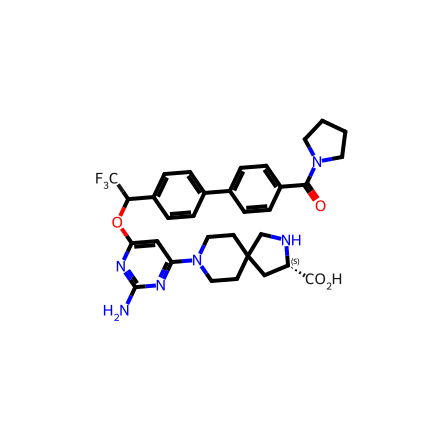 Nc1nc(OC(c2ccc(-c3ccc(C(=O)N4CCCC4)cc3)cc2)C(F)(F)F)cc(N2CCC3(CC2)CN[C@H](C(=O)O)C3)n1